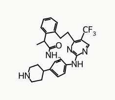 CC(C(N)=O)c1ccccc1CCc1nc(Nc2ccc(C3CCNCC3)cc2)ncc1C(F)(F)F